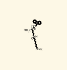 CCCCCCCCCCCCCCCCCC(=O)NCCCC[C@H](NC(=O)OCC1c2ccccc2-c2ccccc21)C(=O)O